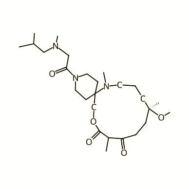 CO[C@]1(C)CCCN(C)C2(CCN(C(=O)CN(C)CC(C)C)CC2)COC(=O)C(C)C(=O)CC1